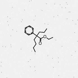 CCCCC(CCC)(C(=O)OCC)c1ccccc1